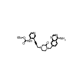 CC(C)(C)OC(=O)Nc1ccncc1C#CCN1CCN(Cc2ccc3c(N)ncnc3c2)C(=O)C1